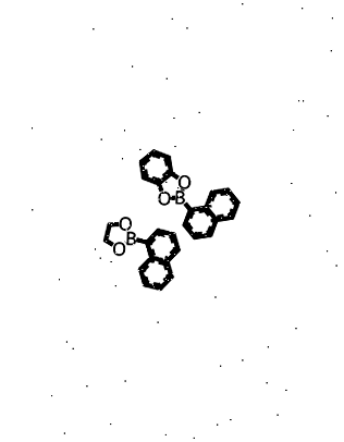 c1ccc2c(B3OCCO3)cccc2c1.c1ccc2c(c1)OB(c1cccc3ccccc13)O2